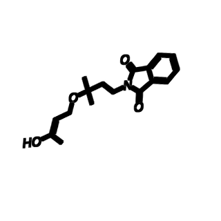 C/C(O)=C\COC(C)(C)CCN1C(=O)c2ccccc2C1=O